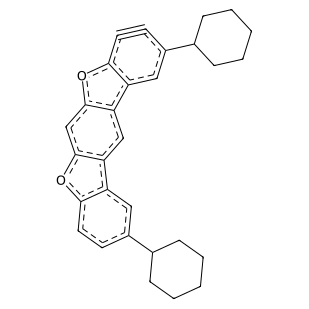 c1c(C2CCCCC2)cc2c(c#1)oc1cc3oc4ccc(C5CCCCC5)cc4c3cc12